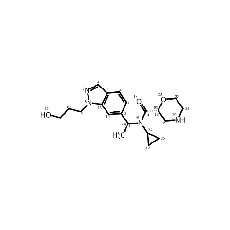 C[C@@H](c1ccc2cnn(CCCO)c2c1)N(C(=O)[C@H]1CNCCO1)C1CC1